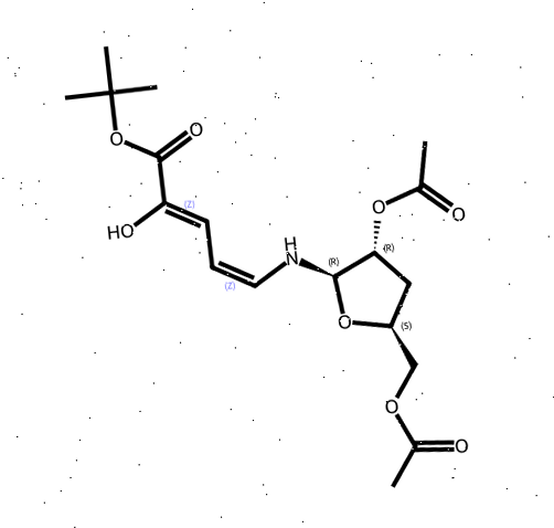 CC(=O)OC[C@@H]1C[C@@H](OC(C)=O)[C@H](N/C=C\C=C(/O)C(=O)OC(C)(C)C)O1